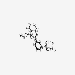 CC(C)c1cccc(CCC2CCCCC2C(C)C)c1